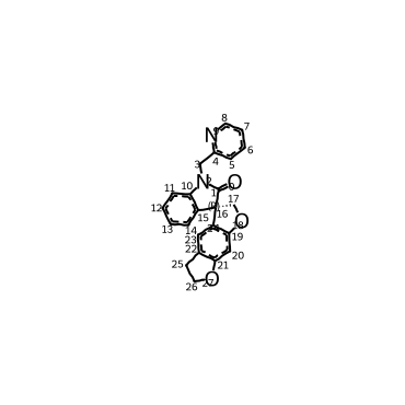 O=C1N(Cc2ccccn2)c2ccccc2[C@@]12COc1cc3c(cc12)CCO3